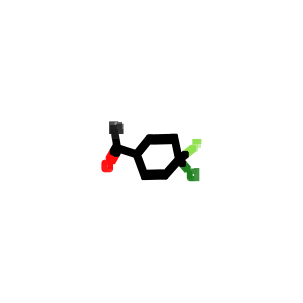 CCC(=O)C1C=CC(F)(Cl)C=C1